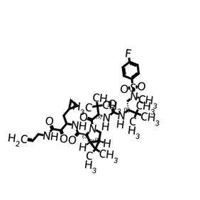 C=CCNC(=O)C(=O)C(CC1CC1)NC(=O)[C@@H]1[C@@H]2[C@H](CN1C(=O)[C@@H](NC(=O)N[C@H](CN(C)S(=O)(=O)c1ccc(F)cc1)C(C)(C)C)C(C)(C)C)C2(C)C